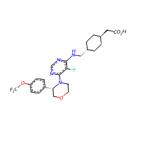 O=C(O)C[C@H]1CC[C@H](CNc2ncnc(N3CCOC[C@@H]3c3ccc(OC(F)(F)F)cc3)c2F)CC1